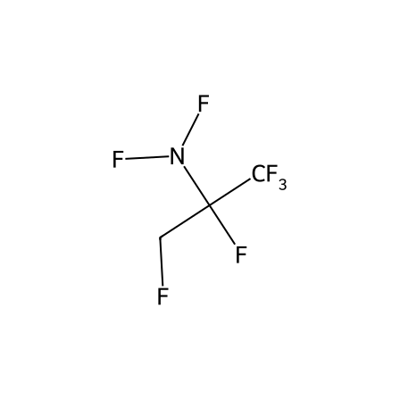 FCC(F)(N(F)F)C(F)(F)F